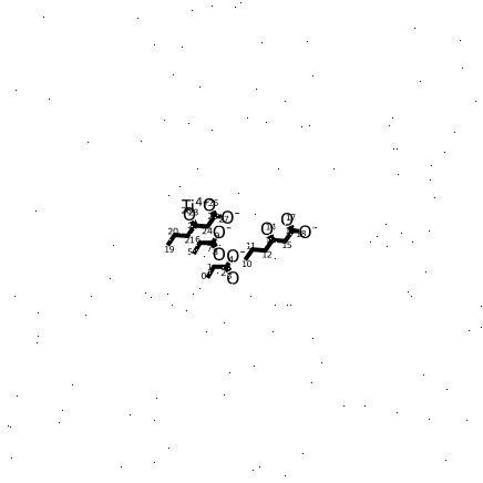 CCC(=O)[O-].CCC(=O)[O-].CCCC(=O)CC(=O)[O-].CCCC(=O)CC(=O)[O-].[Ti+4]